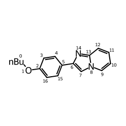 CCCCOc1ccc(-c2cn3ccccc3n2)cc1